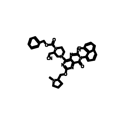 CCc1nc2c(N3CCN(C(=O)OCc4ccccc4)C(CC#N)C3)nc(OCC3CCCN3C)nc2c(=O)n1-c1cccc2cccc(Cl)c12